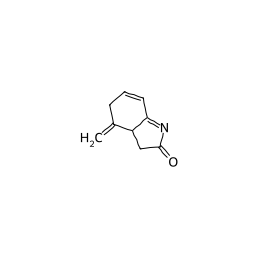 C=C1CC=CC2=NC(=O)CC12